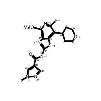 COc1nc(F)c(C2CCOCC2)c2sc(NC(=O)c3cnn(C)c3)nc12